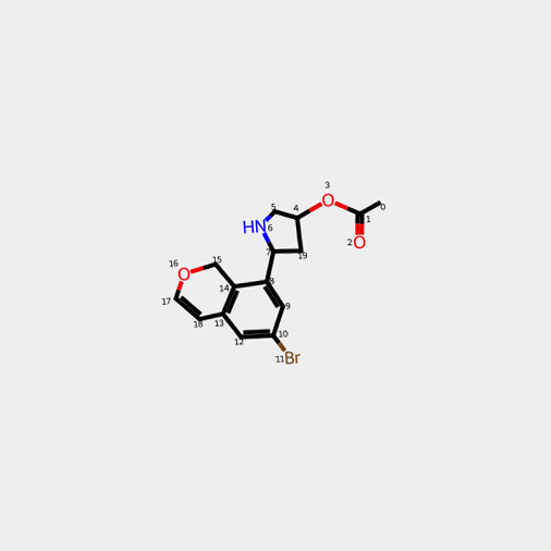 CC(=O)OC1CNC(c2cc(Br)cc3c2COC=C3)C1